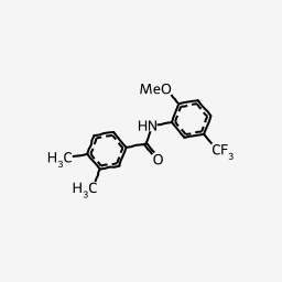 COc1ccc(C(F)(F)F)cc1NC(=O)c1ccc(C)c(C)c1